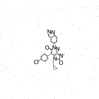 Cn1cc2cc(-n3nc4c(c(-c5ccc(Cl)cc5)c3=O)n(CC3CC3)c(=O)n4C)ccc2n1